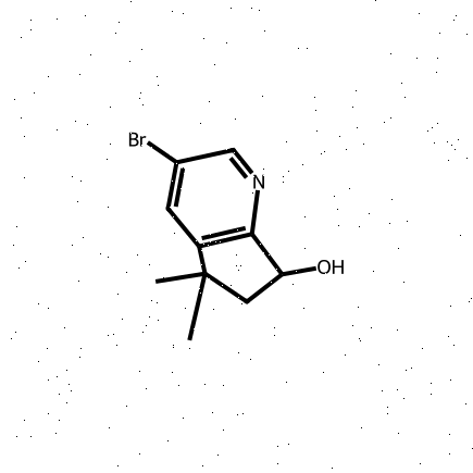 CC1(C)CC(O)c2ncc(Br)cc21